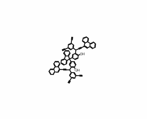 C#Cc1cc(C#C)cc(C(C#Cc2cc3ccccc3c3ccccc23)c2cc(C3(c4ccc(O)c(C(C#Cc5cc6ccccc6c6ccccc56)c5cc(C#C)cc(C#C)c5)c4)c4ccccc4-c4ccccc43)ccc2O)c1